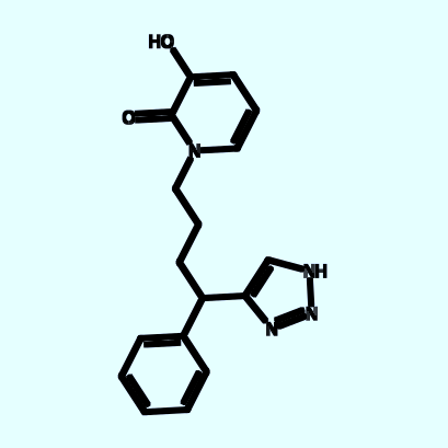 O=c1c(O)cccn1CCCC(c1ccccc1)c1c[nH]nn1